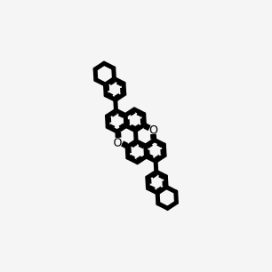 c1cc2c(cc1-c1ccc3oc4ccc5c(-c6ccc7c(c6)CCCC7)ccc6oc7ccc1c3c7-c4c65)CCCC2